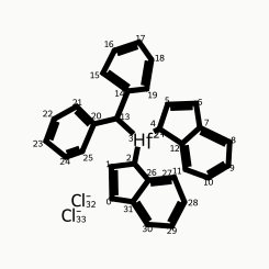 C1=C[CH]([Hf+2]([CH]2C=Cc3ccccc32)[CH](c2ccccc2)c2ccccc2)c2ccccc21.[Cl-].[Cl-]